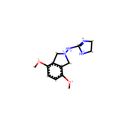 COc1ccc(OC)c2c1CN(NC1=NCCN1)C2